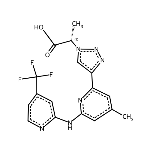 Cc1cc(Nc2cc(C(F)(F)F)ccn2)nc(-c2cn([C@@H](C)C(=O)O)nn2)c1